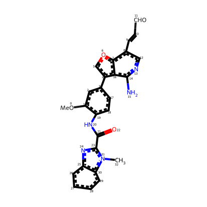 COc1cc(-c2coc3c(/C=C/C=O)cnc(N)c23)ccc1NC(=O)c1nc2ccccc2n1C